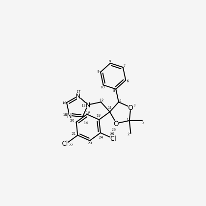 CC1(C)OC(c2ccccc2)C(Cn2cncn2)(c2ccc(Cl)cc2Cl)O1